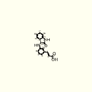 O=C(O)/C=C/c1cccc(NC2C(=O)Nc3ccccc32)c1